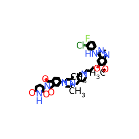 COc1cc2ncnc(Nc3ccc(F)c(Cl)c3)c2cc1OCCCN1CCC(CN2C(C)CN(c3ccc4c(c3)C(=O)N(C3CCC(=O)NC3=O)C4=O)CC2C)CC1